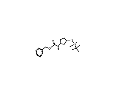 CC(C)(C)[Si](C)(C)O[C@H]1CC[C@H](NC(=O)OCc2ccccc2)C1